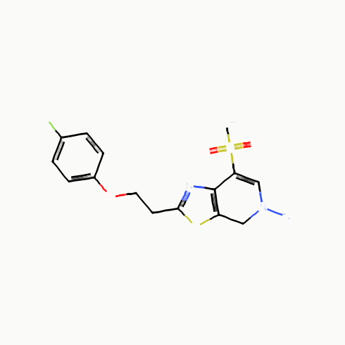 CS(=O)(=O)C1=CN(N)Cc2sc(CCOc3ccc(F)cc3)nc21